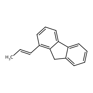 CC=Cc1cccc2c1Cc1ccccc1-2